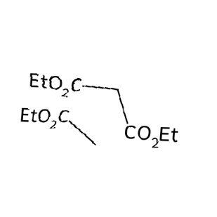 CCOC(=O)CC(=O)OCC.CCOC(C)=O